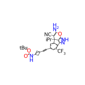 Cc1n[nH]c2c1C(c1cc(C#CC34CC(NC(=O)OC(C)(C)C)(C3)C4)cc(C(F)(F)F)c1)(C(C)C)C(C#N)=C(N)O2